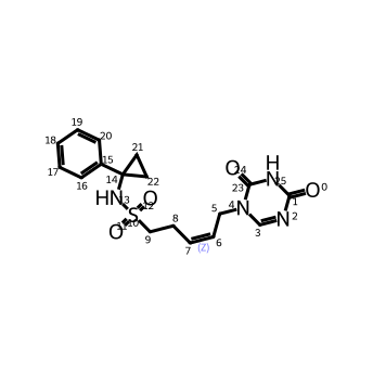 O=c1ncn(C/C=C\CCS(=O)(=O)NC2(c3ccccc3)CC2)c(=O)[nH]1